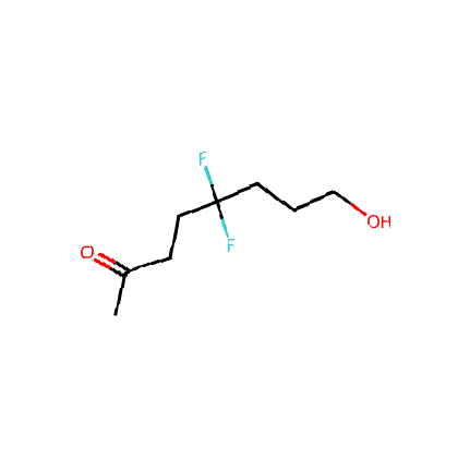 CC(=O)CCC(F)(F)CCCO